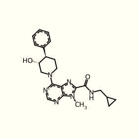 Cn1c(C(=O)NCC2CC2)nc2c(N3CC[C@H](c4ccccc4)[C@@H](O)C3)ncnc21